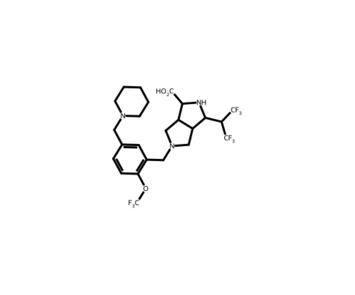 O=C(O)C1NC(C(C(F)(F)F)C(F)(F)F)C2CN(Cc3cc(CN4CCCCC4)ccc3OC(F)(F)F)CC12